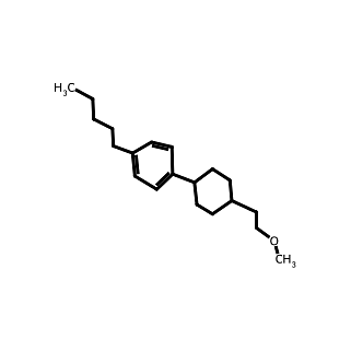 CCCCCc1ccc(C2CCC(CCOC)CC2)cc1